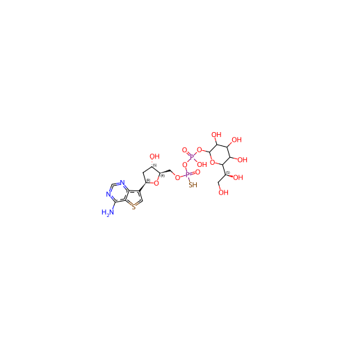 Nc1ncnc2c([C@H]3C[C@H](O)[C@@H](COP(=O)(S)OP(=O)(O)OC4OC([C@@H](O)CO)C(O)C(O)C4O)O3)csc12